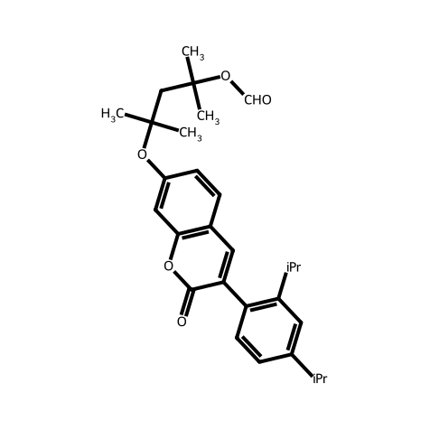 CC(C)c1ccc(-c2cc3ccc(OC(C)(C)CC(C)(C)OC=O)cc3oc2=O)c(C(C)C)c1